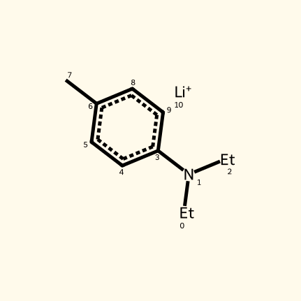 CCN(CC)c1ccc(C)cc1.[Li+]